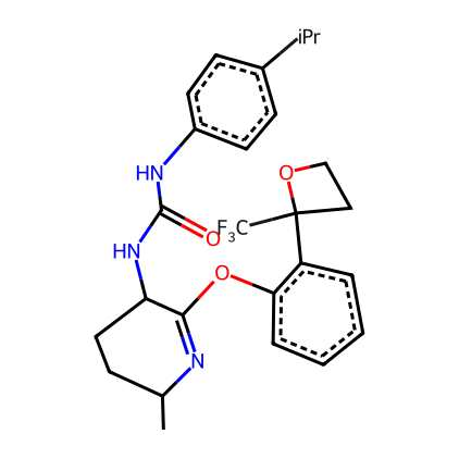 CC1CCC(NC(=O)Nc2ccc(C(C)C)cc2)C(Oc2ccccc2C2(C(F)(F)F)CCO2)=N1